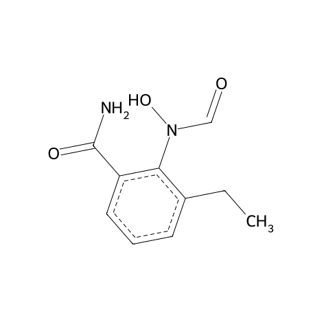 CCc1cccc(C(N)=O)c1N(O)C=O